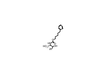 CC(C)C(O)C(NC(=O)OCCCCCc1ccccc1)C(=O)O